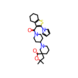 CC1(C)CC2(CCCN(C3CCN(C(=O)c4c(-n5cccc5)sc5c4CCCC5)CC3)C2)C(=O)O1